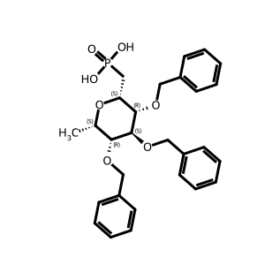 C[C@@H]1O[C@H](CP(=O)(O)O)[C@H](OCc2ccccc2)[C@@H](OCc2ccccc2)[C@@H]1OCc1ccccc1